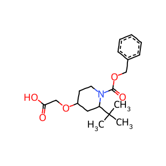 CC(C)(C)C1CC(OCC(=O)O)CCN1C(=O)OCc1ccccc1